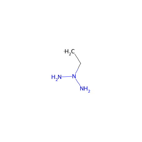 [CH2]CN(N)N